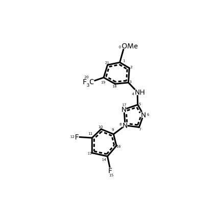 COc1cc(Nc2ncn(-c3cc(F)cc(F)c3)n2)cc(C(F)(F)F)c1